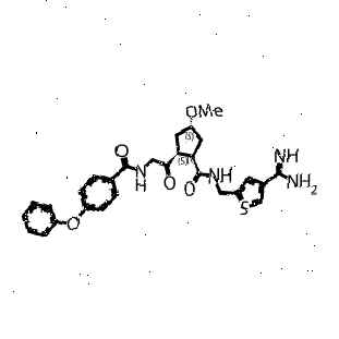 CO[C@H]1C[C@H](C(=O)CNC(=O)c2ccc(Oc3ccccc3)cc2)[C@H](C(=O)NCc2cc(C(=N)N)cs2)C1